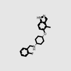 Cc1c(O[C@H]2CC[C@@H](NCc3ccccc3F)CC2)ccc2[nH]ncc12